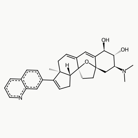 CN(C)[C@H]1C[C@@]23CC[C@@]4(O2)C(=CC[C@]2(C)C(c5ccc6cccnc6c5)=CC[C@H]24)C=C3[C@@H](O)[C@@H]1O